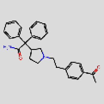 CC(=O)c1ccc(CCN2CCC(C(C(N)=O)(c3ccccc3)c3ccccc3)C2)cc1